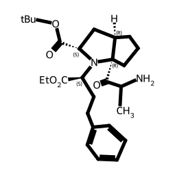 CCOC(=O)[C@H](CCc1ccccc1)N1[C@H](C(=O)OC(C)(C)C)C[C@H]2CCC[C@]21C(=O)C(C)N